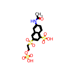 CC(=O)Nc1ccc2c(S(=O)(=O)O)cc(S(=O)(=O)CCOS(=O)(=O)O)cc2c1